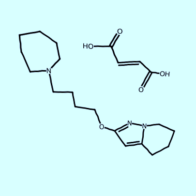 O=C(O)C=CC(=O)O.c1c(OCCCCN2CCCCCC2)nn2c1CCCC2